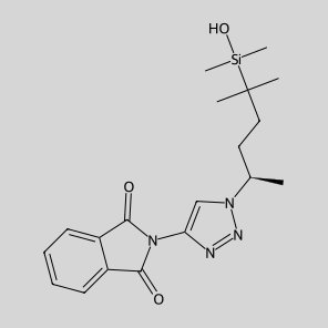 C[C@H](CCC(C)(C)[Si](C)(C)O)n1cc(N2C(=O)c3ccccc3C2=O)nn1